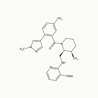 COc1cccnc1NC[C@@H]1[C@H](C)CCCN1C(=O)c1cc(C)ccc1-c1cnn(C)c1